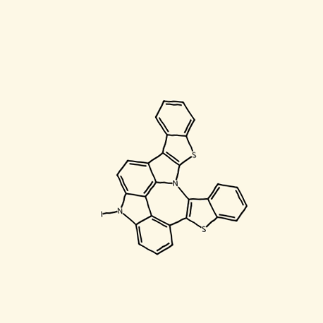 In1c2cccc3c4sc5ccccc5c4n4c5sc6ccccc6c5c5ccc1c(c32)c54